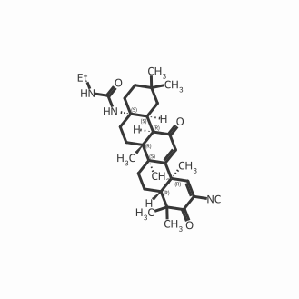 [C-]#[N+]C1=C[C@]2(C)C3=CC(=O)[C@@H]4[C@@H]5CC(C)(C)CC[C@]5(NC(=O)NCC)CC[C@@]4(C)[C@]3(C)CC[C@H]2C(C)(C)C1=O